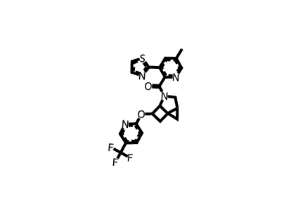 Cc1cnc(C(=O)N2CC3CC34CC(Oc3ccc(C(F)(F)F)cn3)C24)c(-c2nccs2)c1